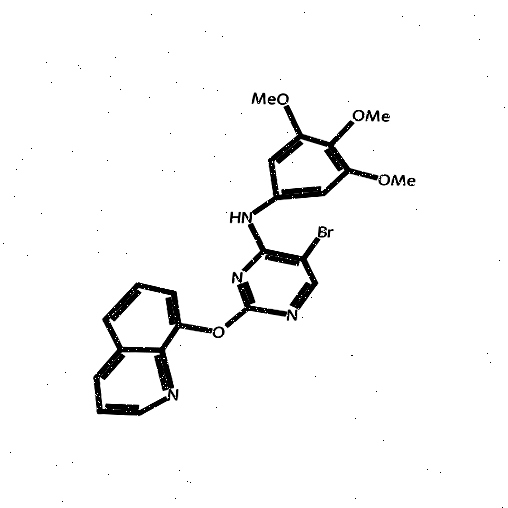 COc1cc(Nc2nc(Oc3cccc4cccnc34)ncc2Br)cc(OC)c1OC